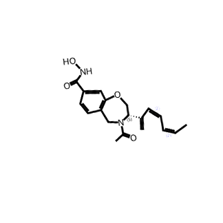 C=C(/C=C\C=C/C)[C@H]1COc2cc(C(=O)NO)ccc2CN1C(C)=O